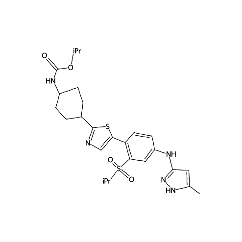 Cc1cc(Nc2ccc(-c3cnc(C4CCC(NC(=O)OC(C)C)CC4)s3)c(S(=O)(=O)C(C)C)c2)n[nH]1